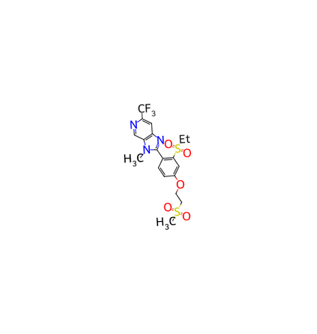 CCS(=O)(=O)c1cc(OCCS(C)(=O)=O)ccc1-c1nc2cc(C(F)(F)F)ncc2n1C